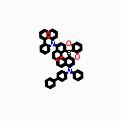 C1=CC2C(N(c3ccccc3)c3ccccc3-c3ccccc3)=CC3=C(B4c5c(cccc5Oc5cc(N(c6ccccc6)c6ccc(-c7ccccc7)cc6)c6ccccc6c54)O3)C2C=C1